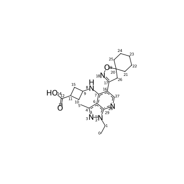 CCn1nc(C)c2c(NC3CC(C(=O)O)C3)c(C3=NOC4(CCCCC4)C3)cnc21